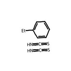 CCc1ccccc1.N=C=S.N=C=S